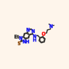 CCn1c(=S)[nH]c2cc3c(NCc4ccccc4OCCCN(C)C)ncnc3cc21